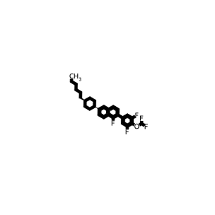 CCCCCC[C@H]1CC[C@H](c2ccc3c(F)c(-c4cc(F)c(OC(F)F)c(F)c4)ccc3c2)CC1